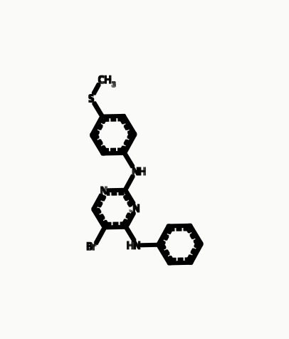 CSc1ccc(Nc2ncc(Br)c(Nc3ccccc3)n2)cc1